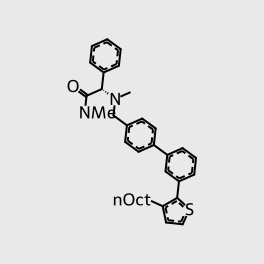 CCCCCCCCc1ccsc1-c1cccc(-c2ccc(CN(C)[C@H](C(=O)NC)c3ccccc3)cc2)c1